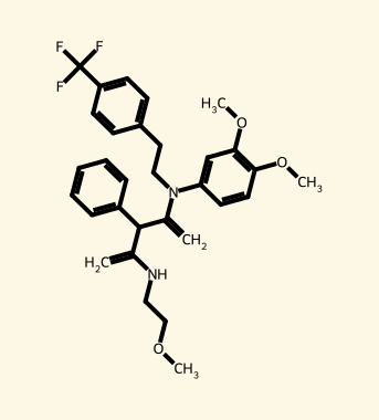 C=C(NCCOC)C(C(=C)N(CCc1ccc(C(F)(F)F)cc1)c1ccc(OC)c(OC)c1)c1ccccc1